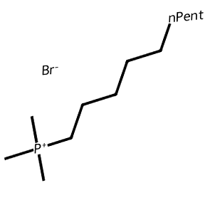 CCCCCCCCCC[P+](C)(C)C.[Br-]